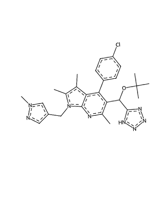 Cc1nc2c(c(C)c(C)n2Cc2cnn(C)c2)c(-c2ccc(Cl)cc2)c1C(OC(C)(C)C)c1nnn[nH]1